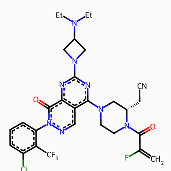 C=C(F)C(=O)N1CCN(c2nc(N3CC(N(CC)CC)C3)nc3c(=O)n(-c4cccc(Cl)c4C(F)(F)F)ncc23)C[C@@H]1CC#N